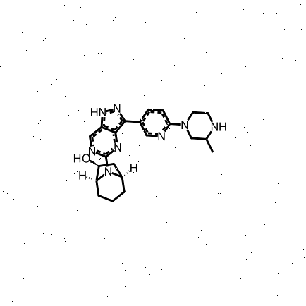 CC1CN(c2ccc(-c3n[nH]c4cnc(N5[C@@H]6CCC[C@H]5[C@@H](O)C6)nc34)cn2)CCN1